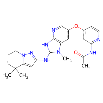 CC(=O)Nc1cc(Oc2cnc3c(c2)N(C)C(Nc2cc4n(n2)CCCC4(C)C)N3)ccn1